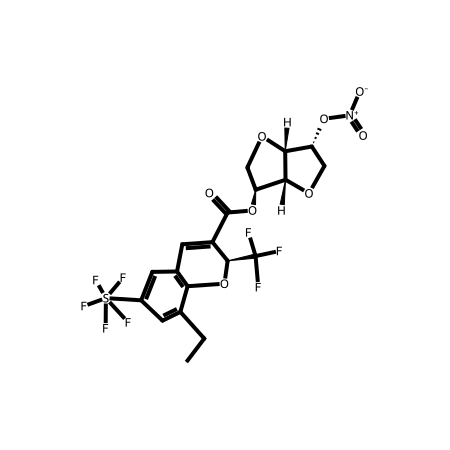 CCc1cc(S(F)(F)(F)(F)F)cc2c1O[C@H](C(F)(F)F)C(C(=O)O[C@H]1CO[C@H]3[C@@H]1OC[C@H]3O[N+](=O)[O-])=C2